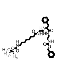 CC(C)(C)OC(=O)NCCCCCCCC(=O)NCC(=O)NC(Cc1ccccc1)C(=O)NCCNC(=O)OCc1ccccc1